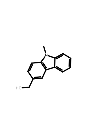 Cn1c2[c]cc(CO)cc2c2ccccc21